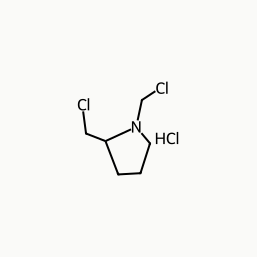 Cl.ClCC1CCCN1CCl